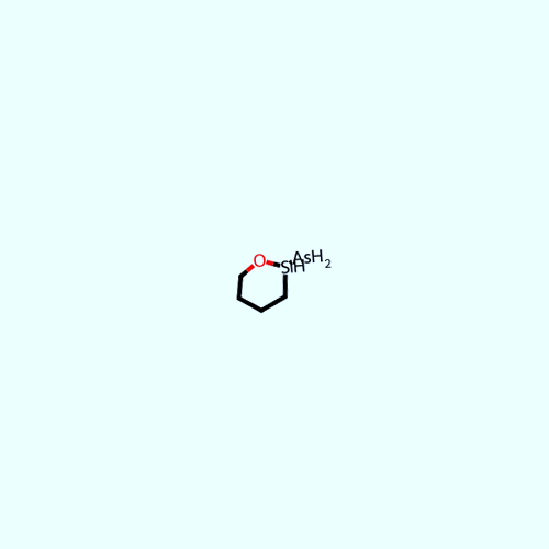 [AsH2][SiH]1CCCCO1